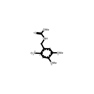 COC(=O)NCc1cc(OC)c(OC)cc1[N+](=O)[O-]